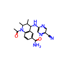 CC(=O)N1c2ccc(C(N)=O)cc2C(Nc2cnc(C#N)cn2)C(C)C1C